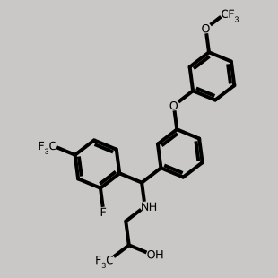 OC(CNC(c1cccc(Oc2cccc(OC(F)(F)F)c2)c1)c1ccc(C(F)(F)F)cc1F)C(F)(F)F